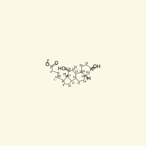 COC(=O)CC[C@@H](C)C1CCC2C3CC[C@@H]4C[C@H](O)CC[C@]4(C)C3C[C@H](O)[C@@]21C